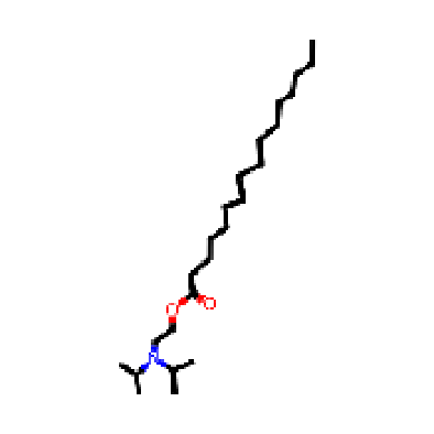 CCCCCCCCCCCCCCCC(=O)OCCN(C(C)C)C(C)C